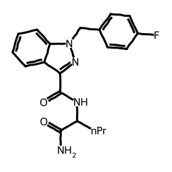 CCCC(NC(=O)c1nn(Cc2ccc(F)cc2)c2ccccc12)C(N)=O